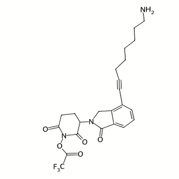 NCCCCCCC#Cc1cccc2c1CN(C1CCC(=O)N(OC(=O)C(F)(F)F)C1=O)C2=O